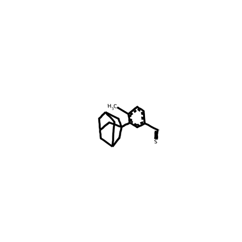 Cc1ccc([C]=S)cc1C12CC3CC(CC(C3)C1)C2